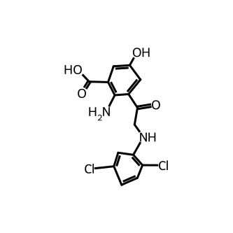 Nc1c(C(=O)O)cc(O)cc1C(=O)CNc1cc(Cl)ccc1Cl